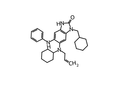 C=CCN(c1cc2c(cc1Nc1ccccc1)[nH]c(=O)n2CC1CCCCC1)C1CCCCC1